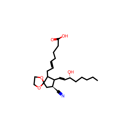 CCCCC[C@@H](O)C=CC1C(CC=CCCCC(=O)O)C2(C[C@@H]1C#N)OCCO2